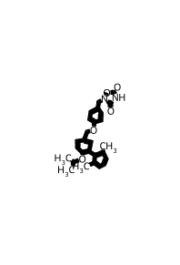 Cc1cccc(C)c1-c1cc(COc2ccc(Cn3oc(=O)[nH]c3=O)cc2)ccc1OC(C)C